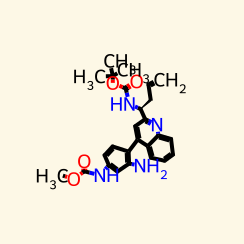 C=CC[C@H](NC(=O)OC(C)(C)C)c1cc(-c2ccc(NC(=O)OC)cc2N)c2ccccc2n1